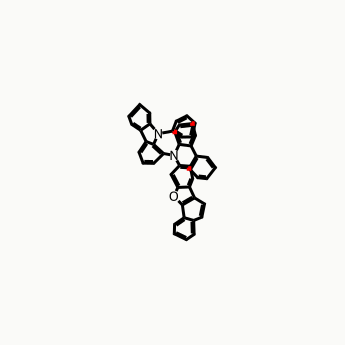 c1ccc(-c2ccccc2N(c2ccc3c(c2)oc2c4ccccc4ccc32)c2cccc3c4ccccc4n(-c4ccccc4)c23)cc1